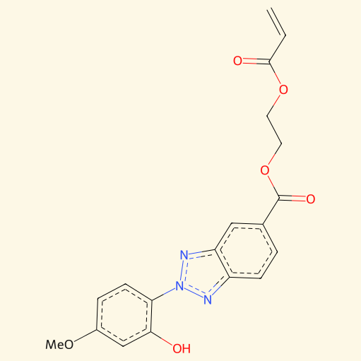 C=CC(=O)OCCOC(=O)c1ccc2nn(-c3ccc(OC)cc3O)nc2c1